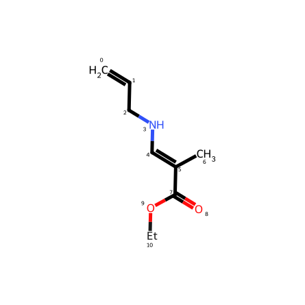 C=CCNC=C(C)C(=O)OCC